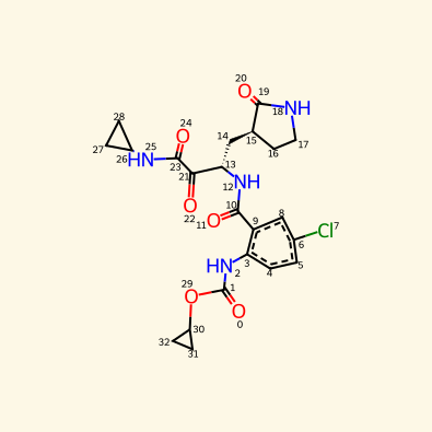 O=C(Nc1ccc(Cl)cc1C(=O)N[C@@H](C[C@@H]1CCNC1=O)C(=O)C(=O)NC1CC1)OC1CC1